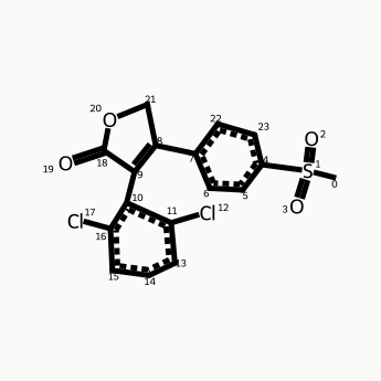 CS(=O)(=O)c1ccc(C2=C(c3c(Cl)cccc3Cl)C(=O)OC2)cc1